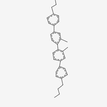 CCCCc1ccc(-c2ccc(-c3ccc(-c4ccc(CCCC)cc4)cc3C)c(C)c2)cc1